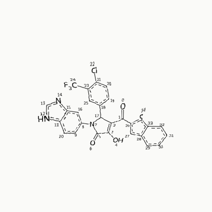 O=C(C1=C(O)C(=O)N(c2ccc3[nH]cnc3c2)C1c1ccc(Cl)c(C(F)(F)F)c1)c1cc2ccccc2s1